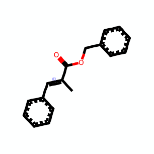 C/C(=C\c1ccccc1)C(=O)OCc1ccccc1